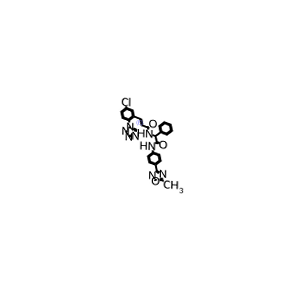 Cc1nc(-c2ccc(NC(=O)C(NC(=O)/C=C/c3cc(Cl)ccc3-n3cnnn3)c3ccccc3)cc2)no1